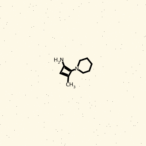 CC1=CC(N)=C1N1CCCCC1